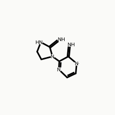 N=C1[N]C=CN=C1N1CCNC1=N